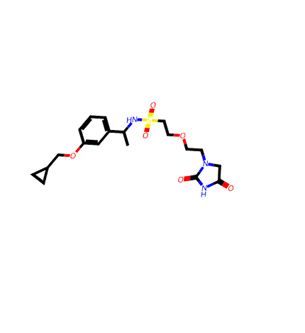 CC(NS(=O)(=O)CCOCCN1CC(=O)NC1=O)c1cccc(OCC2CC2)c1